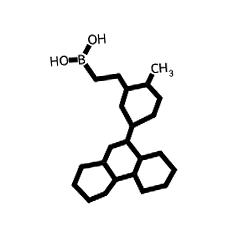 CC1CCC(C2CC3CCCCC3C3CCCCC23)CC1CCB(O)O